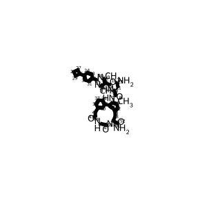 Cc1cc2cc(c1NC(=O)[C@H](CCN)NC(=O)c1c(C)nc(-c3ccc(C4CCC4)cc3)nc1C)-c1cccc(c1)CC(=O)NCC(=O)NC(C(N)=O)C2